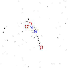 COCCCCCCN1CCN(C(=O)OC(C)C)CC1